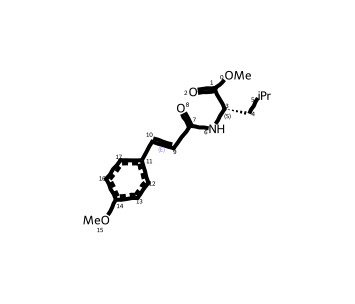 COC(=O)[C@H](CC(C)C)NC(=O)/C=C/c1ccc(OC)cc1